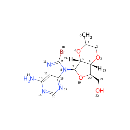 CC1CO[C@H]2[C@@H](O1)[C@H](n1c(Br)nc3c(N)ncnc31)O[C@@H]2CO